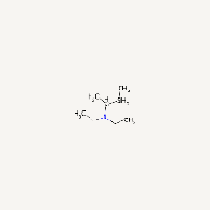 CCN(CC)[SiH](C)[SiH2]C